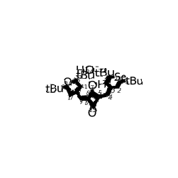 CC(C)(C)C1=CC(=CC2=C(O)C(=Cc3cc(C(C)(C)C)[o+]c(C(C)(C)C)c3)C2=O)C=C(C(C)(C)C)[Se]1.[OH-]